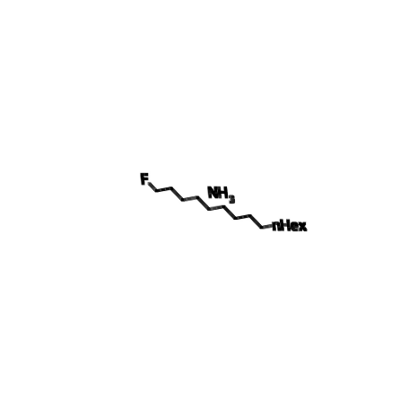 CCCCCCCCCCCCCCCF.N